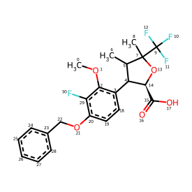 COc1c(C2C(C)C(C)(C(F)(F)F)O[C@H]2C(=O)O)ccc(OCc2ccccc2)c1F